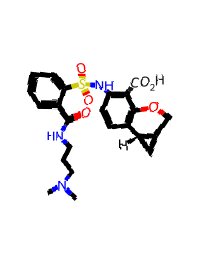 CN(C)CCCNC(=O)c1ccccc1S(=O)(=O)Nc1ccc2c(c1C(=O)O)OCC1C[C@H]21